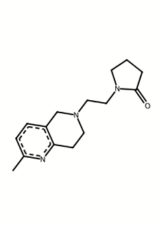 Cc1ccc2c(n1)CCN(CCN1CCCC1=O)C2